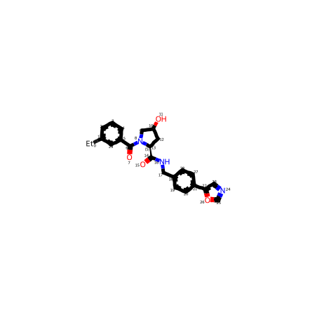 CCc1cccc(C(=O)N2CC(O)C[C@H]2C(=O)NCc2ccc(-c3cnco3)cc2)c1